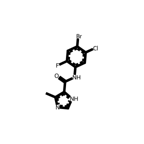 Cc1nc[nH]c1C(=O)Nc1cc(Cl)c(Br)cc1F